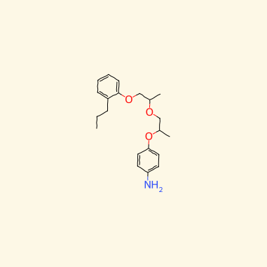 CCCc1ccccc1OCC(C)OCC(C)Oc1ccc(N)cc1